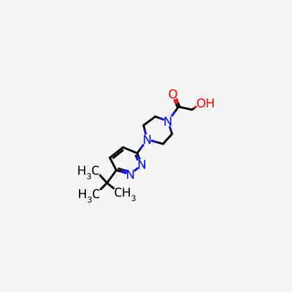 CC(C)(C)c1ccc(N2CCN(C(=O)CO)CC2)nn1